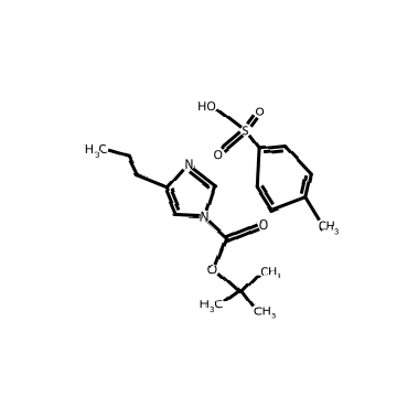 CCCc1cn(C(=O)OC(C)(C)C)cn1.Cc1ccc(S(=O)(=O)O)cc1